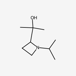 CC(C)N1CCC1C(C)(C)O